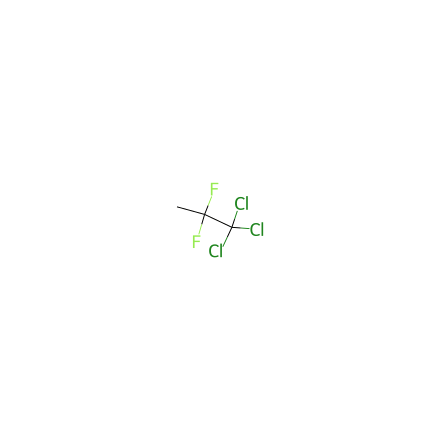 CC(F)(F)C(Cl)(Cl)Cl